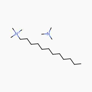 CCCCCCCCCCCC[N+](C)(C)C.CN(C)C